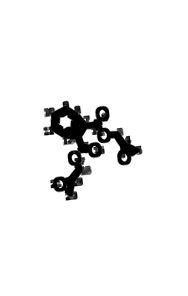 O=C(OCC1CO1)C1c2cccc(c2)C1C(=O)OCC1CO1